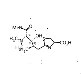 CNC(=O)[C@H]([C@H](O)[C@H](C)CC1=NC(C(=O)O)CS1)N(C)C